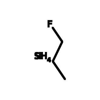 CCCF.[SiH4]